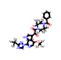 [2H]C([2H])([2H])Oc1cnc(-n2cnc(C([2H])([2H])[2H])n2)c2[nH]cc(C(=O)C(=O)N3C([2H])([2H])C([2H])([2H])N(C(=O)c4ccccc4)C([2H])([2H])C3([2H])[2H])c12